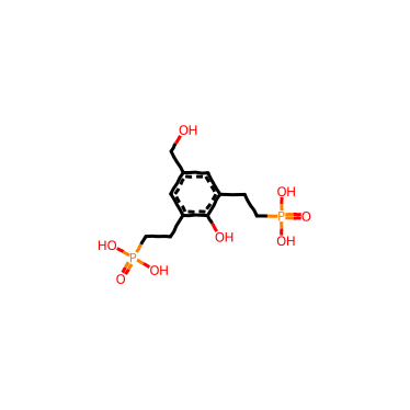 O=P(O)(O)CCc1cc(CO)cc(CCP(=O)(O)O)c1O